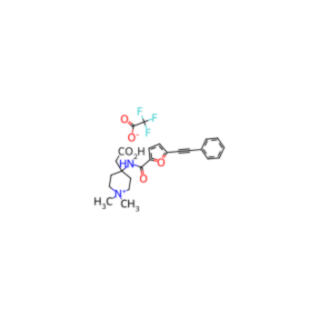 C[N+]1(C)CCC(CC(=O)O)(NC(=O)c2ccc(C#Cc3ccccc3)o2)CC1.O=C([O-])C(F)(F)F